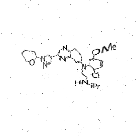 COc1ccc(Cl)c(N(CCNC(C)C)c2ccc3ncc(-c4cnn(C5CCCCO5)c4)nc3c2)c1